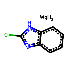 Clc1nc2ccccc2[nH]1.[MgH2]